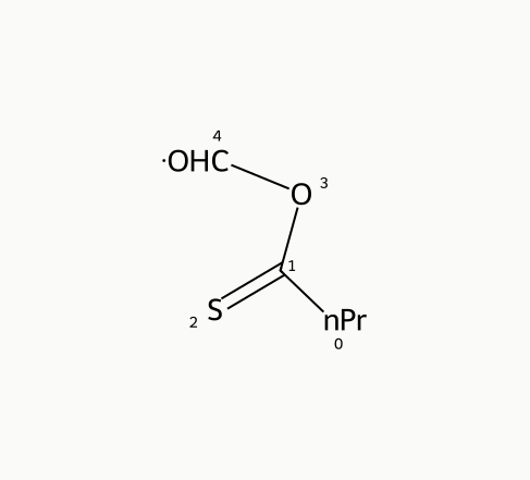 CCCC(=S)O[C]=O